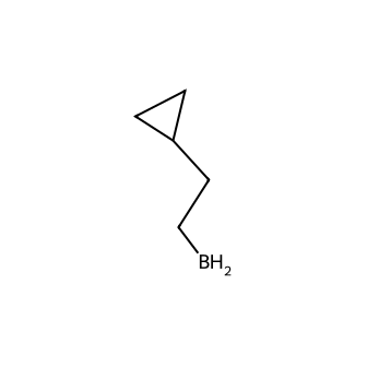 BCCC1CC1